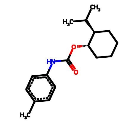 Cc1ccc(NC(=O)O[C@H]2CCCC[C@@H]2C(C)C)cc1